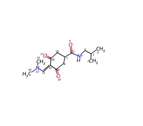 CC(C)CNC(=O)C1CC(=O)C(=CN(C)C)C(=O)C1